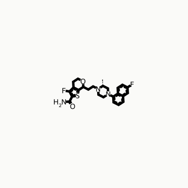 C[C@@H]1CN(c2cccc3cc(F)ccc23)CCN1CCC1OCCc2c1sc(C(N)=O)c2F